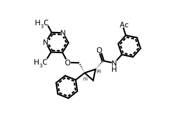 CC(=O)c1cccc(NC(=O)[C@@H]2C[C@@]2(COc2cnc(C)nc2C)c2ccccc2)c1